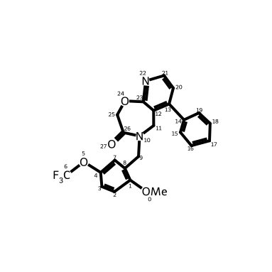 COc1ccc(OC(F)(F)F)cc1CN1Cc2c(-c3ccccc3)ccnc2OCC1=O